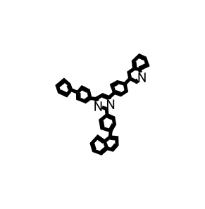 C1=CC(C2C=Nc3ccccc3C2)CC=C1c1cc(-c2ccc(-c3ccccc3)cc2)nc(-c2ccc(-c3cccc4ccccc34)cc2)n1